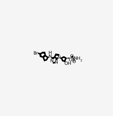 NS(=O)(=O)OC[C@@H]1C[C@@H](n2ccc3c(N[C@H]4CCc5cc(Br)ccc54)ncnc32)C[C@@H]1O